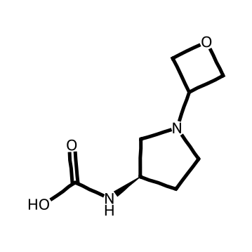 O=C(O)N[C@@H]1CCN(C2COC2)C1